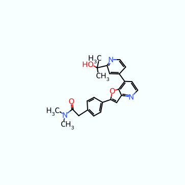 CN(C)C(=O)Cc1ccc(-c2cc3nccc(-c4ccnc(C(C)(C)O)c4)c3o2)cc1